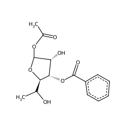 CC(=O)OC1O[C@H](C(C)O)[C@@H](OC(=O)c2ccccc2)[C@H]1O